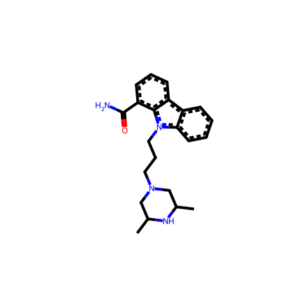 CC1CN(CCCn2c3ccccc3c3cccc(C(N)=O)c32)CC(C)N1